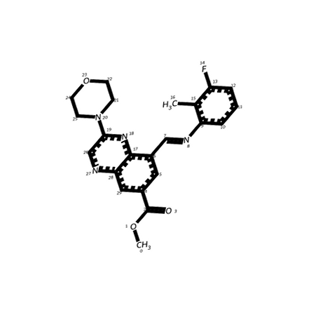 COC(=O)c1cc(/C=N/c2cccc(F)c2C)c2nc(N3CCOCC3)cnc2c1